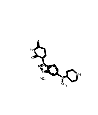 CN(c1ccc2c(c1)nnn2C1CCC(=O)NC1=O)C1CCNCC1.Cl